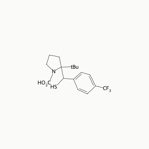 CC(C)(C)C1(C(S)c2ccc(C(F)(F)F)cc2)CCCN1C(=O)O